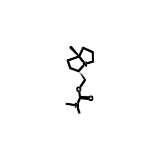 CN(C)C(=O)OC[C@@H]1CC[C@]2(C)CCCN12